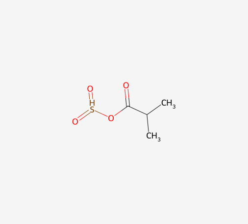 CC(C)C(=O)O[SH](=O)=O